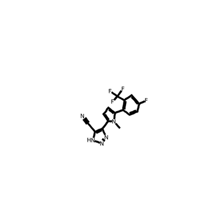 Cn1c(-c2ccc(F)cc2C(F)(F)F)ccc1-c1nn[nH]c1C#N